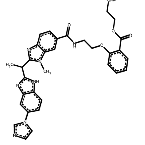 COCCOC(=O)c1ccccc1OCCNC(=O)c1ccc2nc(C(C)c3nc4cc(-n5ccnc5)ccc4[nH]3)n(C)c2c1